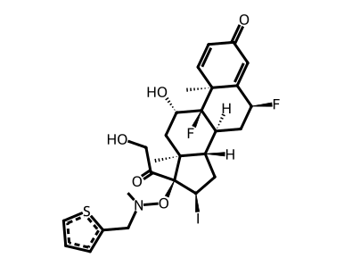 CN(Cc1cccs1)O[C@]1(C(=O)CO)[C@H](I)C[C@H]2[C@@H]3C[C@H](F)C4=CC(=O)C=C[C@]4(C)[C@@]3(F)[C@@H](O)C[C@@]21C